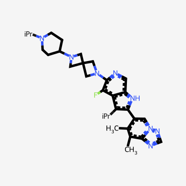 Cc1c(-c2[nH]c3cnc(N4CC5(C4)CN(C4CCN(C(C)C)CC4)C5)c(F)c3c2C(C)C)cn2ncnc2c1C